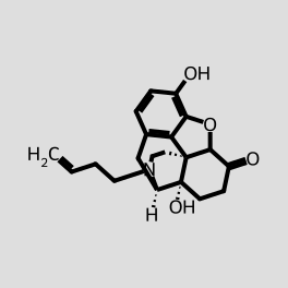 C=CCCN1CC[C@]23c4c5ccc(O)c4OC2C(=O)CC[C@@]3(O)[C@H]1C5